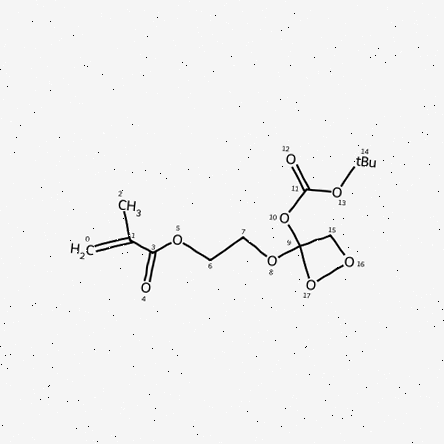 C=C(C)C(=O)OCCOC1(OC(=O)OC(C)(C)C)COO1